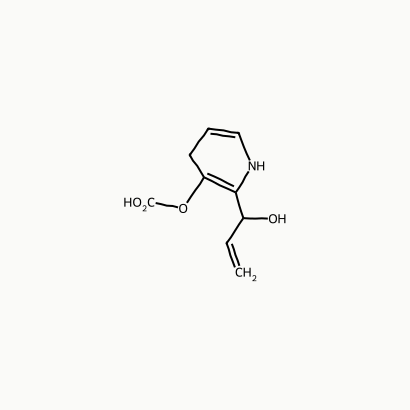 C=CC(O)C1=C(OC(=O)O)CC=CN1